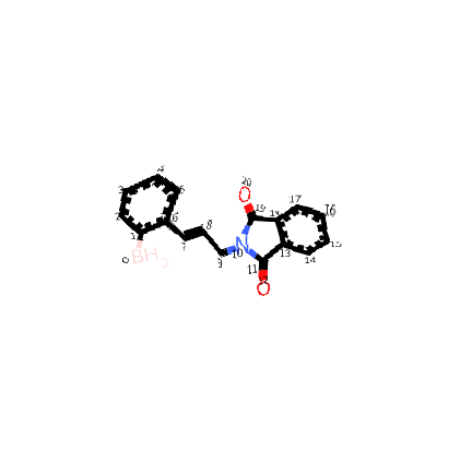 Bc1ccccc1/C=C/CN1C(=O)c2ccccc2C1=O